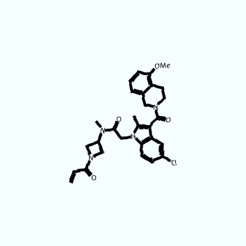 C=CC(=O)N1CC(N(C)C(=O)Cn2c(C)c(C(=O)N3CCc4c(cccc4OC)C3)c3cc(Cl)ccc32)C1